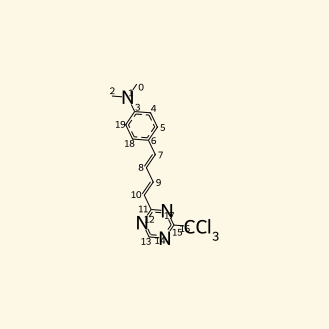 CN(C)c1ccc(C=CC=Cc2ncnc(C(Cl)(Cl)Cl)n2)cc1